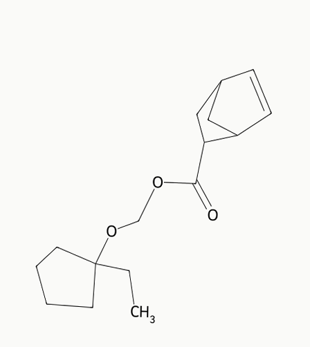 CCC1(OCOC(=O)C2CC3C=CC2C3)CCCC1